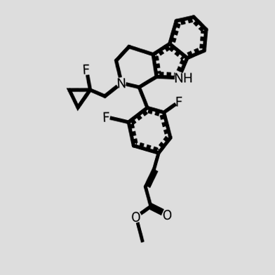 COC(=O)/C=C/c1cc(F)c(C2c3[nH]c4ccccc4c3CCN2CC2(F)CC2)c(F)c1